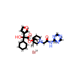 O=C(C[N+]12CCC(CC1)[C@@H](OC(=O)C(O)(c1ccoc1)C1CCCCC1)C2)Nc1ncncn1.[Br-]